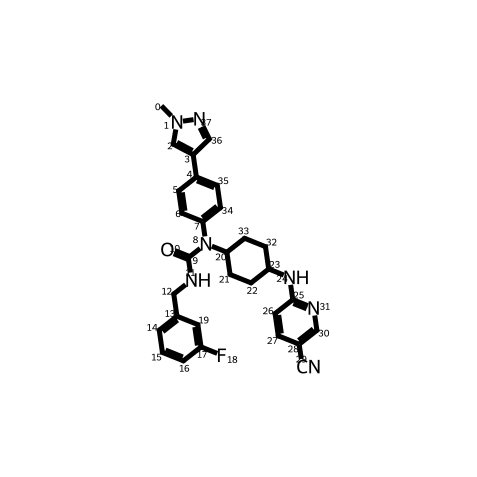 Cn1cc(-c2ccc(N(C(=O)NCc3cccc(F)c3)C3CCC(Nc4ccc(C#N)cn4)CC3)cc2)cn1